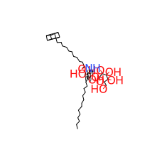 CCCCCCCCCCCCCC[C@@H](O)[C@@H](O)[C@H](COC1OC(CO)C(O)C(O)C1O)NC(=O)CCCCCCCCCCC12C3C4C5C3C1C5C42